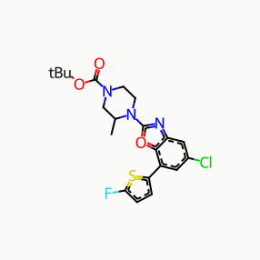 CC1CN(C(=O)OC(C)(C)C)CCN1c1nc2cc(Cl)cc(-c3ccc(F)s3)c2o1